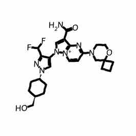 NC(=O)c1cn(-c2cn([C@H]3CC[C@H](CO)CC3)nc2C(F)F)[n+]2ccc(N3CCOC4(CCC4)C3)nc12